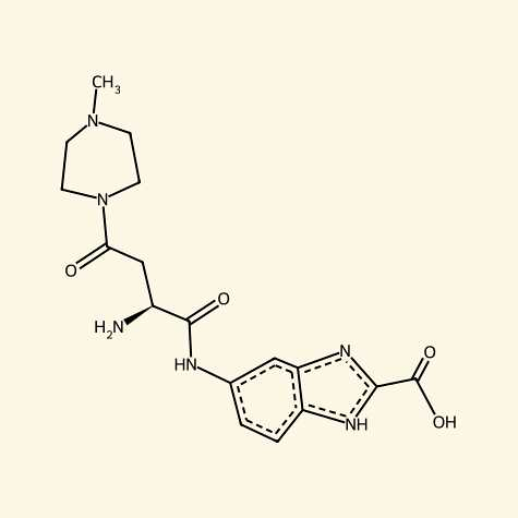 CN1CCN(C(=O)C[C@H](N)C(=O)Nc2ccc3[nH]c(C(=O)O)nc3c2)CC1